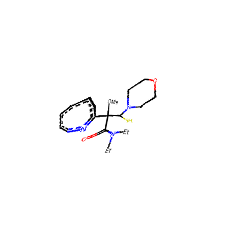 CCN(CC)C(=O)C(OC)(c1ccccn1)C(S)N1CCOCC1